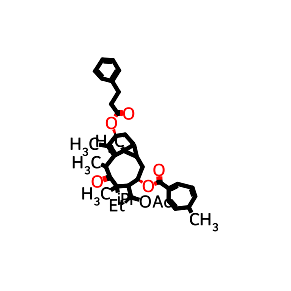 CC[C@H](OC(C)=O)C1[C@H](OC(=O)C2=CC=CC(C)C=C2)CC2C3C[C@H](OC(=O)CCc4ccccc4)C(C)=C(C(C)C(=O)C1(C)C(C)C)C32C